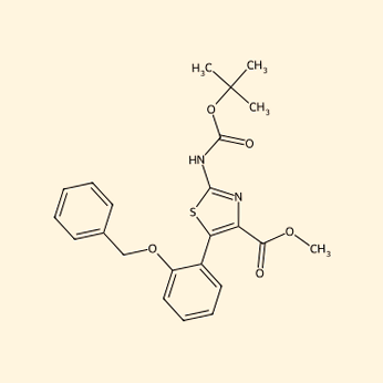 COC(=O)c1nc(NC(=O)OC(C)(C)C)sc1-c1ccccc1OCc1ccccc1